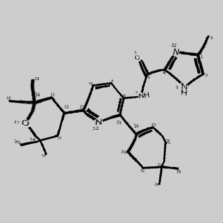 Cc1c[nH]c(C(=O)Nc2ccc(C3CC(C)(C)OC(C)(C)C3)nc2C2=CCC(C)(C)CC2)n1